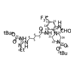 CC/N=C(\NCCCCC(=O)Nc1cc(C(F)(F)F)cc(NC=O)c1N1CCN(C(=O)OC(C)(C)C)CC1)NC(=O)OC(C)(C)C